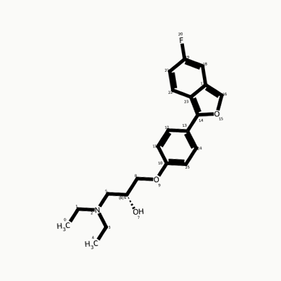 CCN(CC)C[C@@H](O)COc1ccc(-c2occ3cc(F)ccc23)cc1